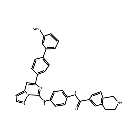 COc1cccc(-c2ccc(-c3cc4ccnn4c(Nc4ccc(NC(=O)c5ccc6c(c5)CCNC6)cc4)n3)cc2)c1